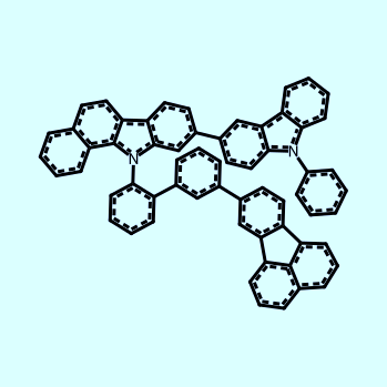 c1ccc(-n2c3ccccc3c3cc(-c4ccc5c6ccc7ccccc7c6n(-c6ccccc6-c6cccc(-c7ccc8c(c7)-c7cccc9cccc-8c79)c6)c5c4)ccc32)cc1